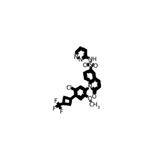 COc1cc(C2CC(C(F)(F)F)C2)c(Cl)cc1-n1c(=O)ccc2cc(S(=O)(=O)Nc3cccnn3)ccc21